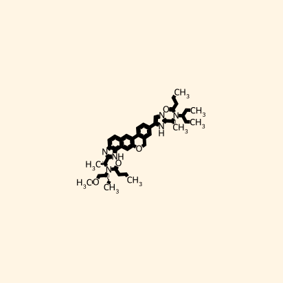 CCCC(=O)N(C(CC)CC)[C@@H](C)c1ncc(-c2ccc3c(c2)COc2cc4c(ccc5nc([C@H](C)N(C(=O)CCC)[C@H](CC)COC)[nH]c54)cc2-3)[nH]1